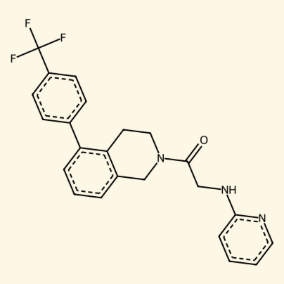 O=C(CNc1ccccn1)N1CCc2c(cccc2-c2ccc(C(F)(F)F)cc2)C1